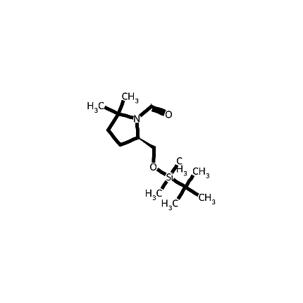 CC1(C)CC[C@H](CO[Si](C)(C)C(C)(C)C)N1[C]=O